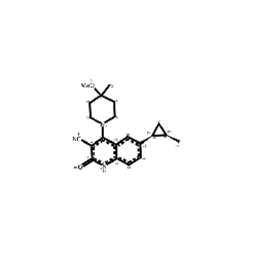 COC1(C)CCN(c2c(C#N)c(=O)[nH]c3ccc([C@H]4C[C@H]4C)cc23)CC1